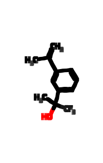 C=C(C)c1cccc(C(C)(O)C(F)(F)F)c1